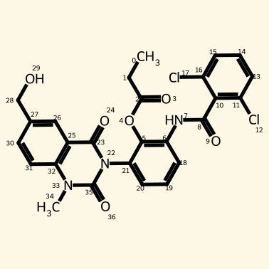 CCC(=O)Oc1c(NC(=O)c2c(Cl)cccc2Cl)cccc1-n1c(=O)c2cc(CO)ccc2n(C)c1=O